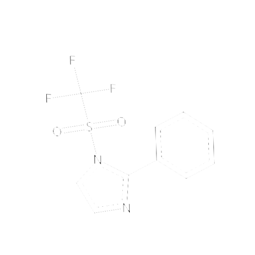 O=S(=O)(n1ccnc1-c1ccccc1)C(F)(F)F